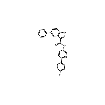 O=C(Nc1ccc(-c2ccc(F)cc2)nc1)c1n[nH]c2ccc(-c3cccnc3)cc12